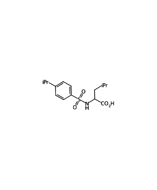 CC(C)CC(NS(=O)(=O)c1ccc(C(C)C)cc1)C(=O)O